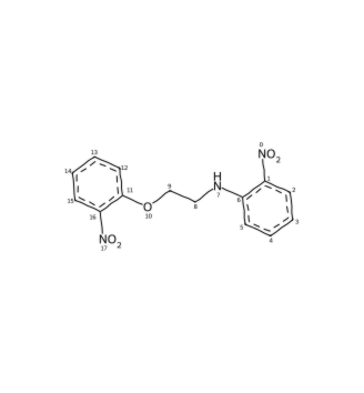 O=[N+]([O-])c1ccccc1NCCOc1ccccc1[N+](=O)[O-]